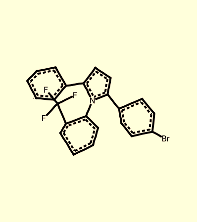 FC(F)(F)c1ccccc1-n1c(-c2c[c]ccc2)ccc1-c1ccc(Br)cc1